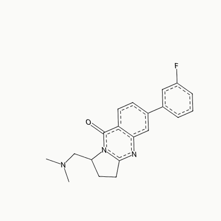 CN(C)CC1CCc2nc3cc(-c4cccc(F)c4)ccc3c(=O)n21